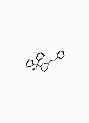 OC(c1ccccc1)(c1ccccc1)C1CCCN(CCc2ccccn2)C1